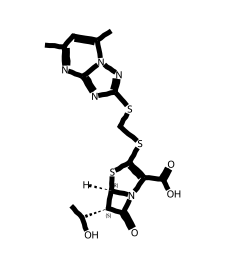 Cc1cc(C)n2nc(SCSC3=C(C(=O)O)N4C(=O)[C@H](C(C)O)[C@H]4S3)nc2n1